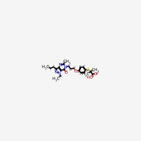 CCCc1nn(CC)c2c(=O)n(CCCOc3ccc(SC(C)(C)C(=O)O)cc3)c(C)nc12